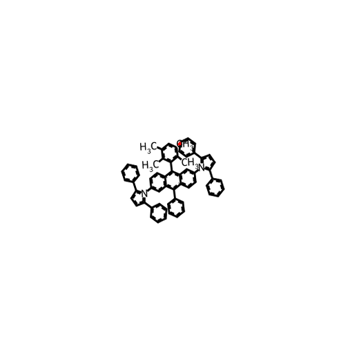 Cc1cc(C)c(C)c(-c2c3ccc(-n4c(-c5ccccc5)ccc4-c4ccccc4)cc3c(-c3ccccc3)c3ccc(-n4c(-c5ccccc5)ccc4-c4ccccc4)cc23)c1C